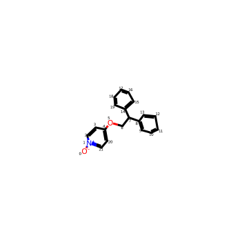 [O-][n+]1ccc(OCC(c2ccccc2)c2ccccc2)cc1